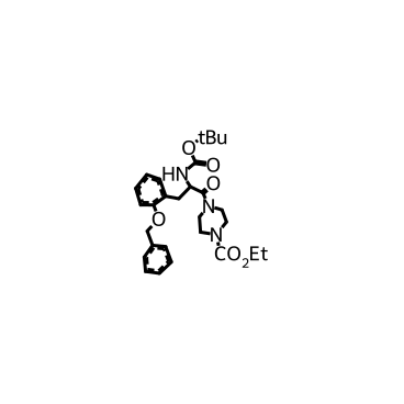 CCOC(=O)N1CCN(C(=O)C(Cc2ccccc2OCc2ccccc2)NC(=O)OC(C)(C)C)CC1